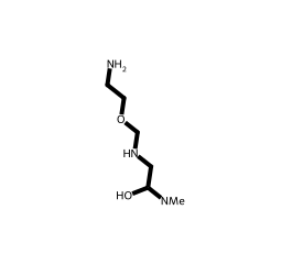 CNC(O)CNCOCCN